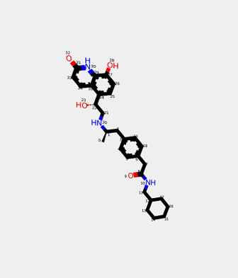 C[C@H](Cc1ccc(CC(=O)NCC2CCCCC2)cc1)NC[C@H](O)c1ccc(O)c2[nH]c(=O)ccc12